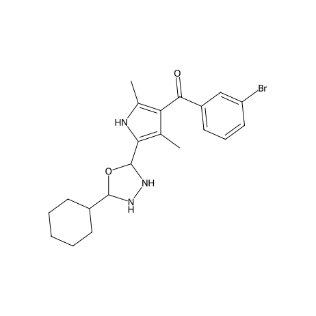 Cc1[nH]c(C2NNC(C3CCCCC3)O2)c(C)c1C(=O)c1cccc(Br)c1